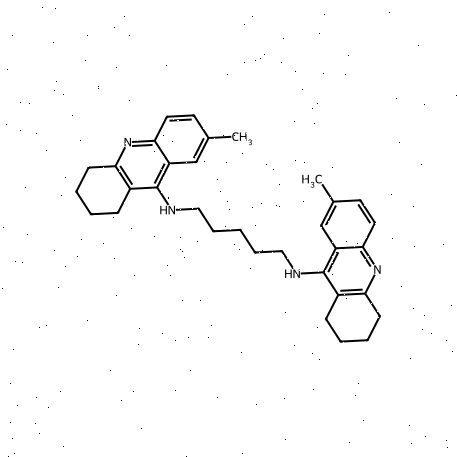 Cc1ccc2nc3c(c(NCCCCCNc4c5c(nc6ccc(C)cc46)CCCC5)c2c1)CCCC3